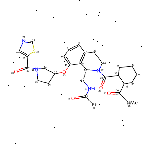 CCC(=O)NC[C@@H]1c2c(cccc2OC2CCN(C(=O)c3cncs3)C2)CCN1C(=O)C1CCCCC1C(=O)NC